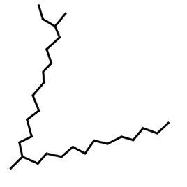 [CH2]C(CCCCCCCCCCCC)CCCCCCCCCCC(C)CC